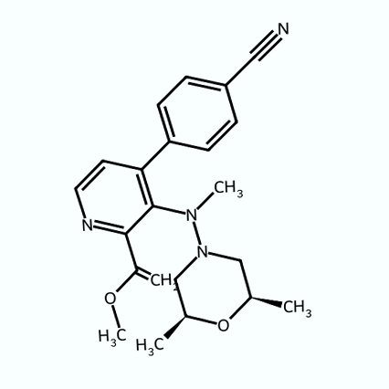 C=C(OC)c1nccc(-c2ccc(C#N)cc2)c1N(C)N1C[C@@H](C)O[C@@H](C)C1